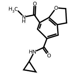 CNC(=O)c1cc(C(=O)NC2CC2)cc2c1OCC2